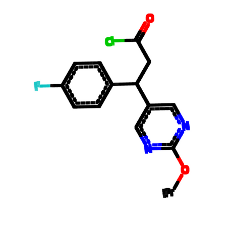 CC(C)Oc1ncc(C(CC(=O)Cl)c2ccc(F)cc2)cn1